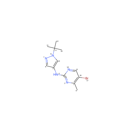 Cc1nc(Nc2cnn(C(C)(C)C)c2)ncc1Br